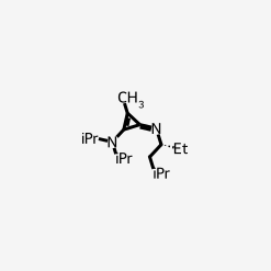 CC[C@H](CC(C)C)/N=c1/c(C)c1N(C(C)C)C(C)C